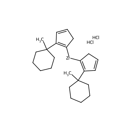 CC1(C2=[C]([Zr][C]3=C(C4(C)CCCCC4)C=CC3)CC=C2)CCCCC1.Cl.Cl